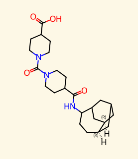 O=C(O)C1CCN(C(=O)N2CCC(C(=O)NC3CC[C@@H]4CC5CC3C[C@H]4C5)CC2)CC1